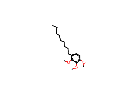 CCCCCCCCCc1ccc(OC)c(OC)c1OC